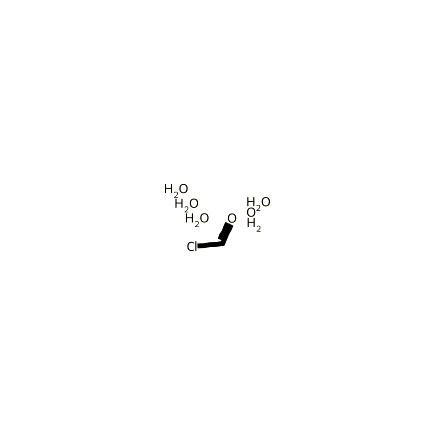 O.O.O.O.O.O=CCl